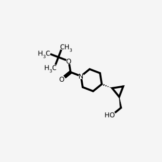 CC(C)(C)OC(=O)N1CCC([C@@H]2C[C@H]2CO)CC1